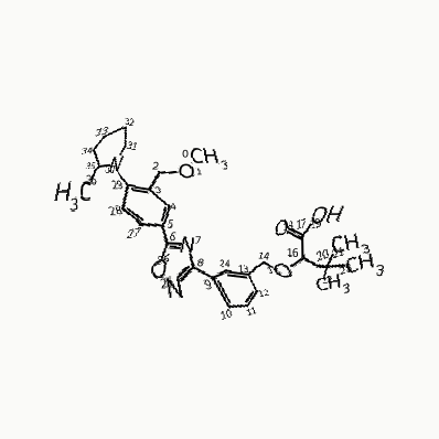 COCc1cc(-c2nc(-c3cccc(COC(C(=O)O)C(C)(C)C)c3)no2)ccc1N1CCCCC1C